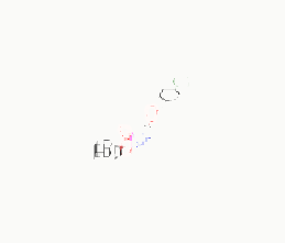 Cc1cc(OCc2ccc(Cl)cc2)cc(C)c1CC(NC(=O)OC(C)(C)C)C(=O)O